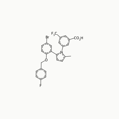 Cc1ccc(-c2cc(Br)ccc2OCc2ccc(F)cc2)n1-c1cc(C(=O)O)cc(C(F)(F)F)c1